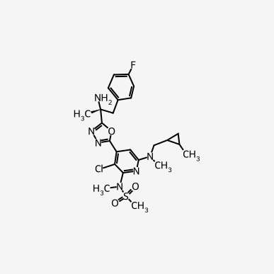 CC1CC1CN(C)c1cc(-c2nnc([C@](C)(N)Cc3ccc(F)cc3)o2)c(Cl)c(N(C)S(C)(=O)=O)n1